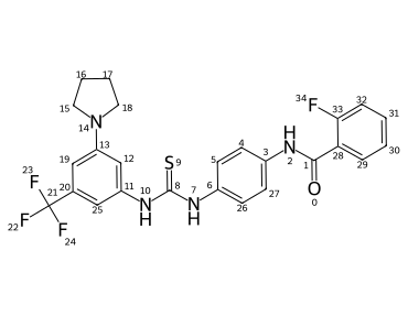 O=C(Nc1ccc(NC(=S)Nc2cc(N3CCCC3)cc(C(F)(F)F)c2)cc1)c1ccccc1F